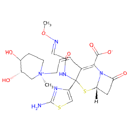 CON=CC(=O)NC1(c2csc(N)n2)S[C@H]2CC(=O)N2C(C(=O)[O-])=C1/C=C\C[N@+]1(C)CCC(O)[C@@H](O)C1